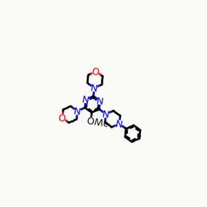 COc1c(N2CCOCC2)nc(N2CCOCC2)nc1N1CCN(c2ccccc2)CC1